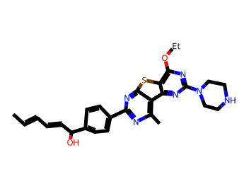 CC=CC=CC(O)c1ccc(-c2nc(C)c3c(n2)sc2c(OCC)nc(N4CCNCC4)nc23)cc1